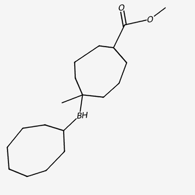 COC(=O)C1CCCC(C)(BC2CCCCCCC2)CCC1